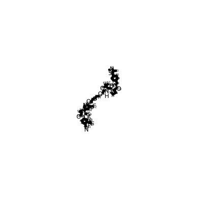 Cc1ncsc1-c1ccc(CNC(=O)C2CCCN2C(=O)C(NC(=O)COCCOCCOc2ncc(N3C(=S)N(c4ccc(C#N)c(C(F)(F)F)c4F)C(=O)C3(C)C)cc2C(F)(F)F)C(C)(C)C)cc1